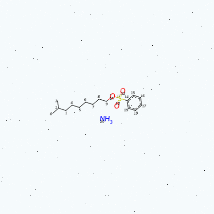 CC(C)CCCCCCCOS(=O)(=O)c1ccccc1.N